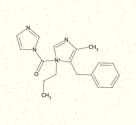 CCC[N+]1(C(=O)n2ccnc2)C=NC(C)=C1Cc1ccccc1